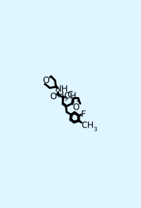 C=C(/C=C(/Cc1ccc(C)c(F)c1)C1=C(C)CCO1)C(=O)NC1CCOCC1